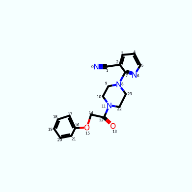 N#Cc1cccnc1N1CCN(C(=O)COc2ccccc2)CC1